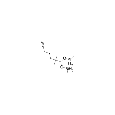 C#CCCCC(C)(C)C(O[SiH2]C)O[SiH2]C